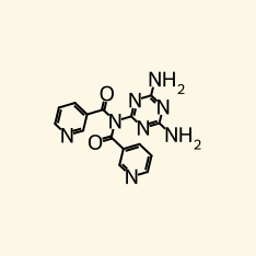 Nc1nc(N)nc(N(C(=O)c2cccnc2)C(=O)c2cccnc2)n1